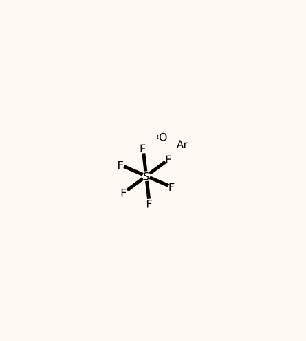 FS(F)(F)(F)(F)F.[Ar].[O]